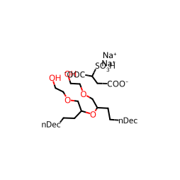 CCCCCCCCCCCCC(COCCO)OC(CCCCCCCCCCCC)COCCO.O=C([O-])CC(C(=O)[O-])S(=O)(=O)O.[Na+].[Na+]